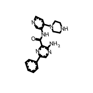 Nc1ncc(-c2ccccc2)nc1C(=O)Nc1cnccc1N1CCNCC1